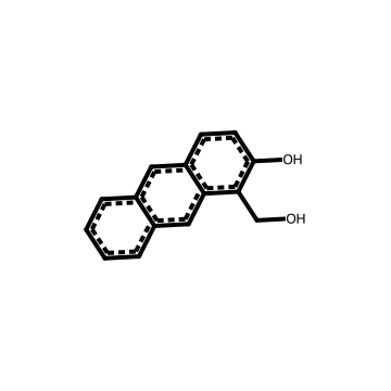 OCc1c(O)ccc2cc3ccccc3cc12